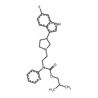 CC(C)COC(=O)N(CCN1CCC(c2c[nH]c3cc(F)ccc23)C1)c1ccccn1